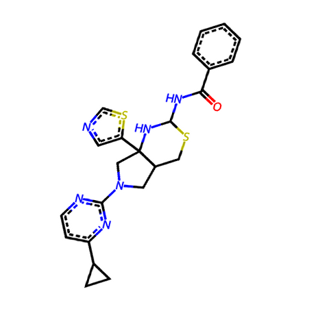 O=C(NC1NC2(c3cncs3)CN(c3nccc(C4CC4)n3)CC2CS1)c1ccccc1